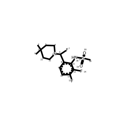 CC1(C)CCN(C(F)c2ccc(F)c(F)c2NS(C)(=O)=O)CC1